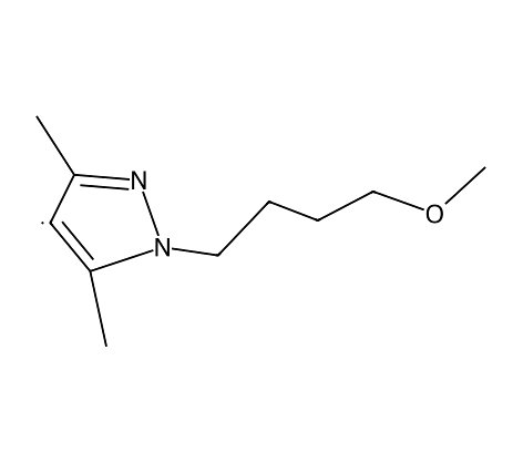 COCCCCn1nc(C)[c]c1C